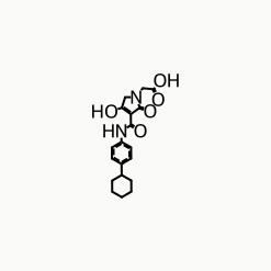 O=C(O)CN1CC(O)=C(C(=O)Nc2ccc(C3CCCCC3)cc2)C1=O